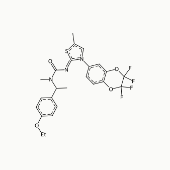 CCOc1ccc(C(C)N(C)C(=O)N=c2sc(C)cn2-c2ccc3c(c2)OC(F)(F)C(F)(F)O3)cc1